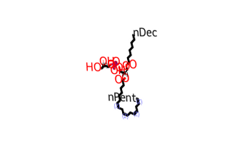 CCCCC/C=C\C/C=C\C/C=C\C/C=C\CCCCCC(=O)O[C@H](COC(=O)CCCCCCCCCCCCCCCCC)COP(=O)(O)OC[C@@H](O)CO